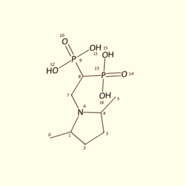 CC1CCC(C)N1CC(P(=O)(O)O)P(=O)(O)O